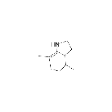 CC1=C2NCCC2C(C)CC1